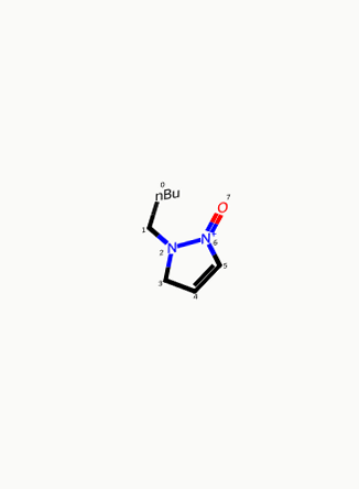 CCCCCN1CC=C[N+]1=O